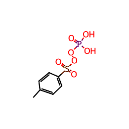 Cc1ccc(S(=O)(=O)OOP(=O)(O)O)cc1